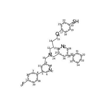 Fc1ccc(-c2cncc(CN(CCCCOc3ccc(S)cc3)Cc3cncc(-c4ccccc4)c3)c2)cc1